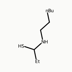 CCCCCCNC(S)CC